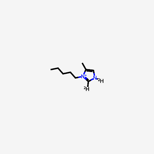 [2H]c1n([2H])cc(C)[n+]1CCCCC